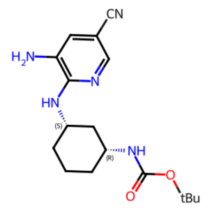 CC(C)(C)OC(=O)N[C@@H]1CCC[C@H](Nc2ncc(C#N)cc2N)C1